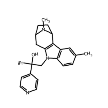 Cc1ccc2c(c1)c1c(n2CC(O)(c2ccncc2)C(C)C)CC2CCC1N2C